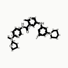 Cc1ncc(Nc2cc(F)cc(N3CCCCC3)c2)cc1C(=O)Nc1ccc(N(C)C2CCCO2)nc1